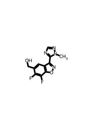 Cn1ncnc1-c1noc2c(F)c(F)c(CO)cc12